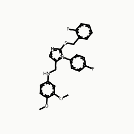 COc1ccc(NCc2cnc(SCc3ccccc3F)n2-c2ccc(F)cc2)cc1OC